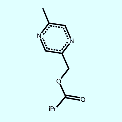 Cc1cnc(COC(=O)C(C)C)cn1